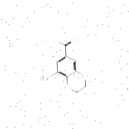 C=C(C)c1cc2c(c(C(C)C)c1)OCCO2